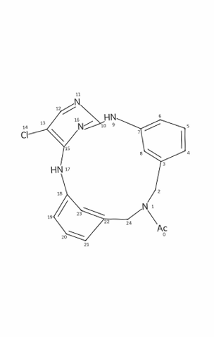 CC(=O)N1Cc2cccc(c2)Nc2ncc(Cl)c(n2)Nc2cccc(c2)C1